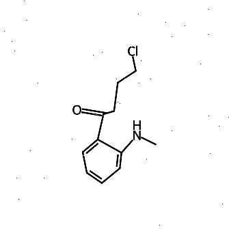 CNc1ccccc1C(=O)CCCCl